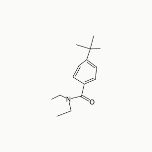 CCN(CC)C(=O)c1ccc(C(C)(C)C)cc1